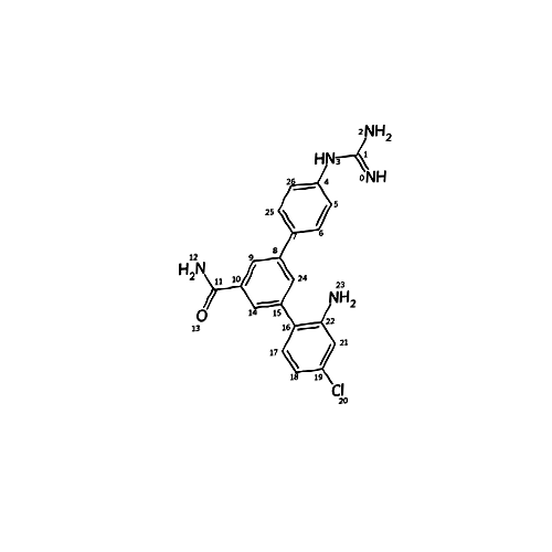 N=C(N)Nc1ccc(-c2cc(C(N)=O)cc(-c3ccc(Cl)cc3N)c2)cc1